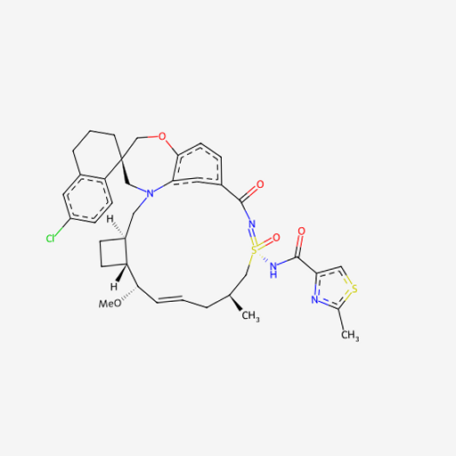 CO[C@H]1/C=C/C[C@H](C)C[S@@](=O)(NC(=O)c2csc(C)n2)=NC(=O)c2ccc3c(c2)N(C[C@@H]2CC[C@H]21)C[C@@]1(CCCc2cc(Cl)ccc21)CO3